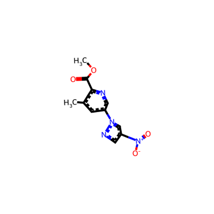 COC(=O)c1ncc(-n2cc([N+](=O)[O-])cn2)cc1C